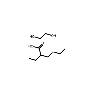 CCOCC(CC)C(=O)O.OCCO